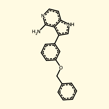 Nc1nccc2[nH]cc(-c3cccc(OCc4ccccc4)c3)c12